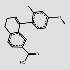 COc1ccc(C2=CCCc3ccc(C(=O)O)cc32)c(C)c1